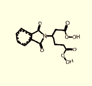 O=C(CCC(CC(=O)OO)N1C(=O)c2ccccc2C1=O)OO